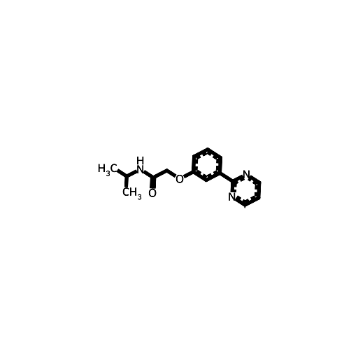 CC(C)NC(=O)COc1cccc(-c2n[c]ccn2)c1